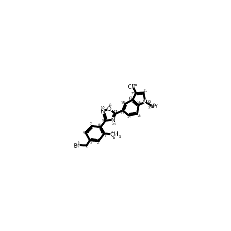 Cc1cc(CBr)ccc1-c1noc(-c2ccc3c(c2)c(Cl)cn3C(C)C)n1